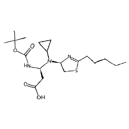 CCCCCC1=N[C@H](N(C2CC2)[C@@H](CC(=O)O)NC(=O)OC(C)(C)C)CS1